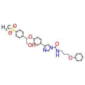 CS(=O)(=O)c1ccc(C(CO)Oc2ccc(-c3cn(C(=O)NCCCOc4ccccc4)cn3)cc2)cc1